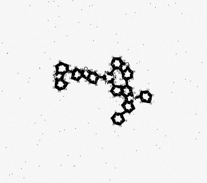 c1ccc(-c2ccc3c(c2)c2ccc(-c4ccc5oc6cccc(-c7nc(-c8ccccc8)nc(-c8ccc9c(c8)oc8cc(-c%10cccc%11sc%12ccccc%12c%10%11)ccc89)n7)c6c5c4)cc2n3-c2ccccc2)cc1